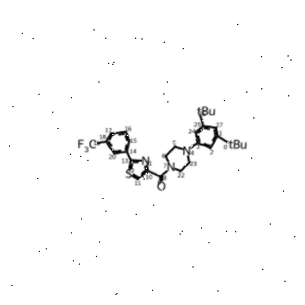 CC(C)(C)c1cc(N2CCN(C(=O)c3csc(-c4cccc(C(F)(F)F)c4)n3)CC2)cc(C(C)(C)C)c1